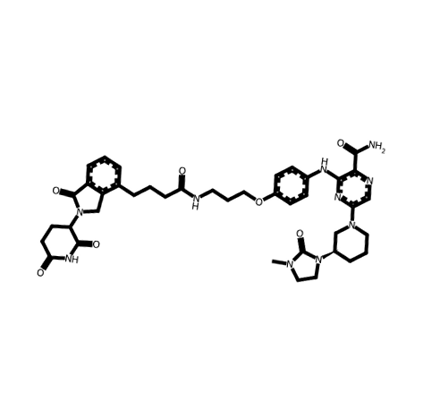 CN1CCN([C@@H]2CCCN(c3cnc(C(N)=O)c(Nc4ccc(OCCCNC(=O)CCCc5cccc6c5CN(C5CCC(=O)NC5=O)C6=O)cc4)n3)C2)C1=O